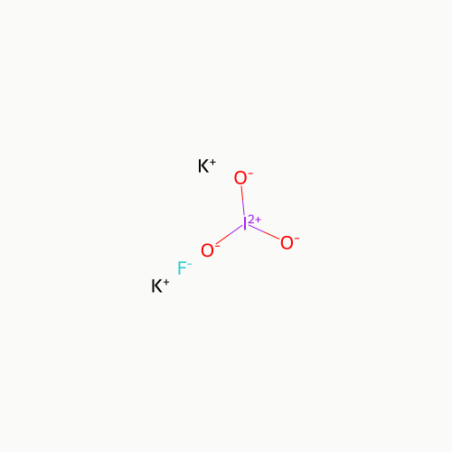 [F-].[K+].[K+].[O-][I+2]([O-])[O-]